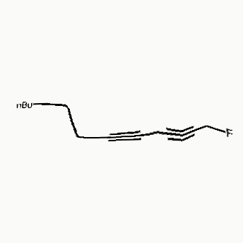 [CH2]CCCCCC#CC#CF